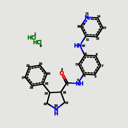 Cl.Cl.O=C(Nc1cccc(Nc2cccnc2)c1)C1CNCC1c1ccccc1